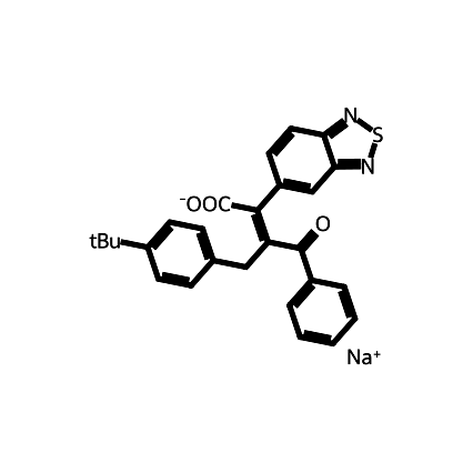 CC(C)(C)c1ccc(CC(C(=O)c2ccccc2)=C(C(=O)[O-])c2ccc3nsnc3c2)cc1.[Na+]